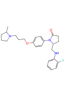 CC1CCCN1CCCOc1ccc(N2C(=O)CCC2CNc2ccccc2F)cc1